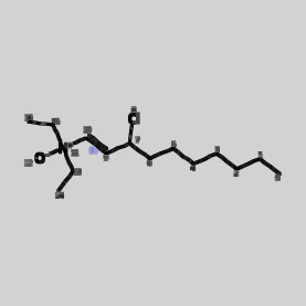 CCCCCCCC(Cl)/C=C/[N+]([O-])(CC)CC